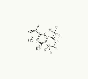 CC(=O)c1cc2c(c(Br)c1O)C(C)(C)CC=C2C(C)(C)C